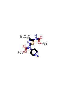 CCOC(=O)c1nc(N(C(=O)OC(C)(C)C)C2CCN(C)CC2)sc1NC(=O)OC(C)(C)C